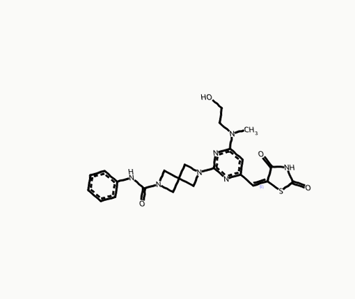 CN(CCO)c1cc(/C=C2/SC(=O)NC2=O)nc(N2CC3(CN(C(=O)Nc4ccccc4)C3)C2)n1